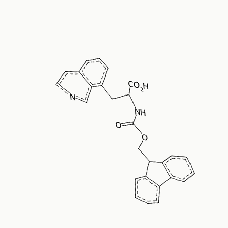 O=C(NC(Cc1cccc2ccncc12)C(=O)O)OCC1c2ccccc2-c2ccccc21